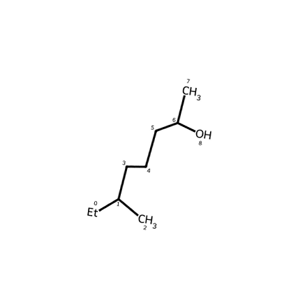 CCC(C)CCCC(C)O